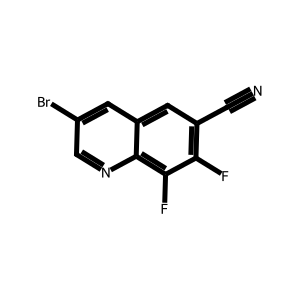 N#Cc1cc2cc(Br)cnc2c(F)c1F